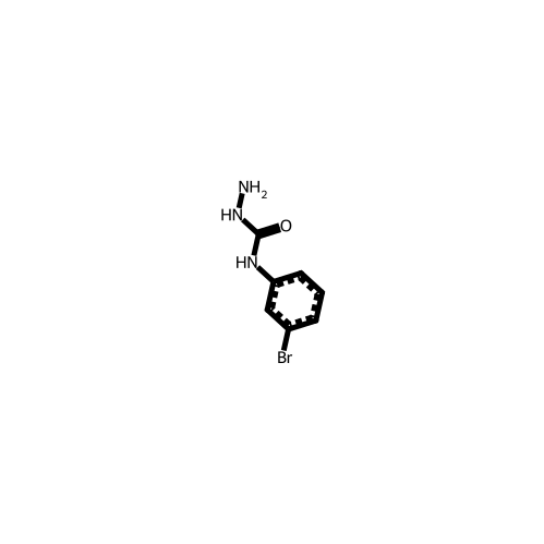 NNC(=O)Nc1cccc(Br)c1